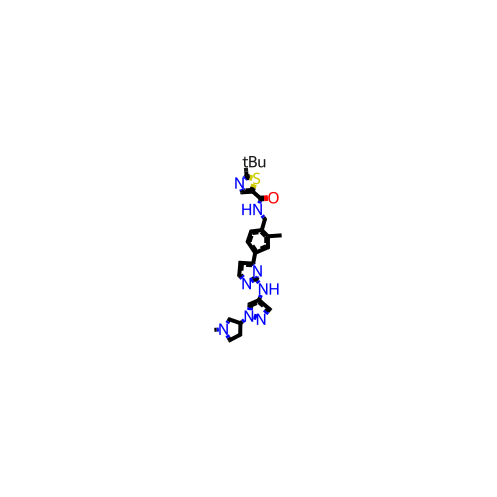 Cc1cc(-c2ccnc(Nc3cnn(C4CCN(C)C4)c3)n2)ccc1CNC(=O)c1cnc(C(C)(C)C)s1